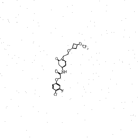 O=C(COc1ccc(Cl)c(F)c1)NC1CCN(CCOC2CC(OC(F)(F)F)C2)C(=O)C1